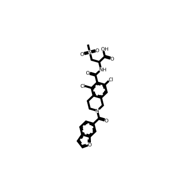 CS(=O)(=O)CC(NC(=O)c1c(Cl)cc2c(c1Cl)CCN(C(=O)c1ccc3ccoc3c1)C2)C(=O)O